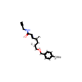 C#CCNC(=O)/C=C/[C@@H](C)C[C@@H](C)COCc1ccc(OC)cc1